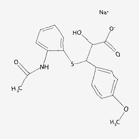 COc1ccc(C(Sc2ccccc2NC(C)=O)C(O)C(=O)[O-])cc1.[Na+]